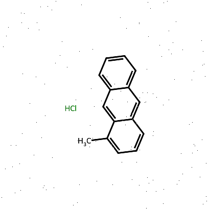 Cc1cccc2cc3ccccc3cc12.Cl